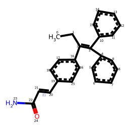 CCC(=C(c1[c]cc[c]c1)c1[c]cc[c]c1)c1ccc(/C=C/C(N)=O)cc1